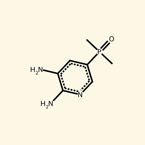 CP(C)(=O)c1cnc(N)c(N)c1